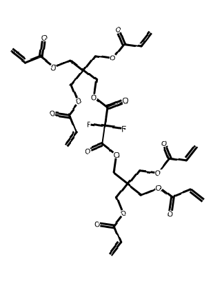 C=CC(=O)OCC(COC(=O)C=C)(COC(=O)C=C)COC(=O)C(F)(F)C(=O)OCC(COC(=O)C=C)(COC(=O)C=C)COC(=O)C=C